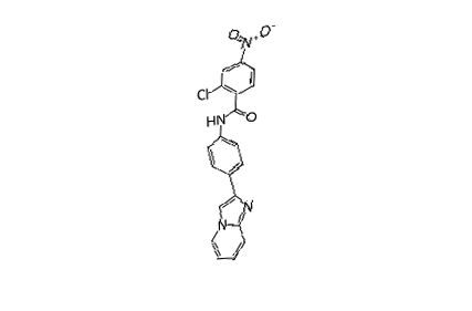 O=C(Nc1ccc(-c2cn3ccccc3n2)cc1)c1ccc([N+](=O)[O-])cc1Cl